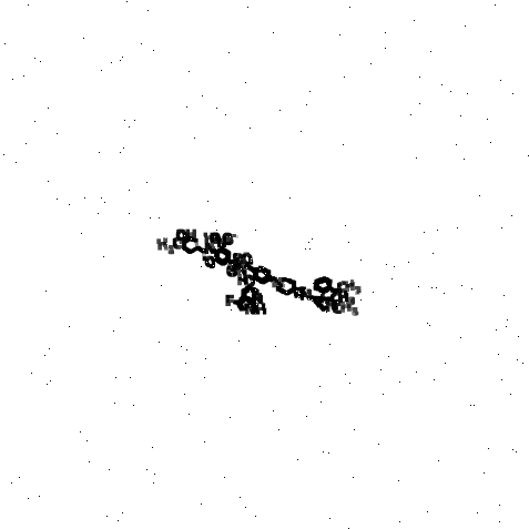 CC(C)c1ccccc1[C@@]12CN(C)CC1[C@H]2N1CC2(CCN(c3ccc(C(=O)NS(=O)(=O)c4cc5c(c([N+](=O)[O-])c4)N[C@@H]([C@H]4CC[C@](C)(O)CC4)CO5)c(Oc4cnc5[nH]cc(F)c5c4)c3)CC2)C1